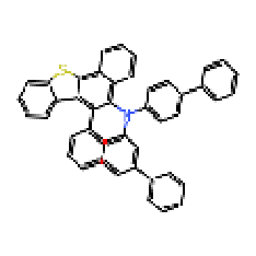 c1ccc(-c2ccc(N(c3cccc(-c4ccccc4)c3)c3c(-c4ccccc4)c4c5ccccc5sc4c4ccccc34)cc2)cc1